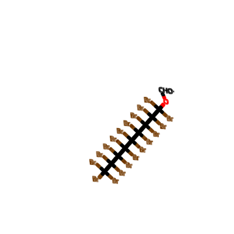 O=[C]OC(Br)(Br)C(Br)(Br)C(Br)(Br)C(Br)(Br)C(Br)(Br)C(Br)(Br)C(Br)(Br)C(Br)(Br)C(Br)(Br)Br